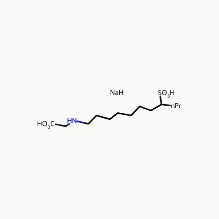 CCCC(CCCCCCCNCC(=O)O)S(=O)(=O)O.[NaH]